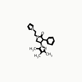 Cc1nn(C2CN(CCn3cccc3)C(=O)C2c2ccccc2)c(C)c1C